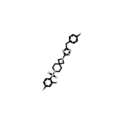 O=S(=O)(c1ccc(F)cc1F)N1CCC2(CC1)CN(c1nc(Cc3ccc(F)cc3)ns1)C2